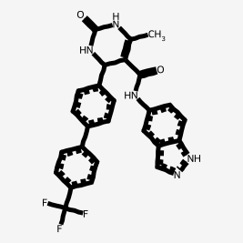 CC1=C(C(=O)Nc2ccc3[nH]ncc3c2)C(c2ccc(-c3ccc(C(F)(F)F)cc3)cc2)NC(=O)N1